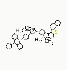 CC1(C)c2ccc(-c3ccc4c(c3)C(C)(C)c3ccc5sc6c7ccccc7ccc6c5c3-4)cc2-c2ccc(-c3c4ccccc4c(-c4ccccc4)c4ccccc34)cc21